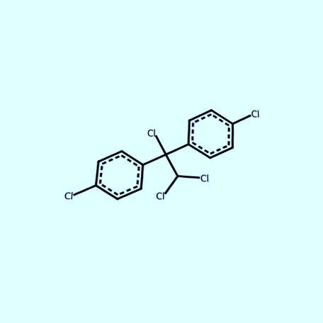 Clc1ccc(C(Cl)(c2ccc(Cl)cc2)C(Cl)Cl)cc1